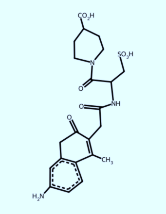 CC1=C(CC(=O)NC(CS(=O)(=O)O)C(=O)N2CCC(C(=O)O)CC2)C(=O)Cc2cc(N)ccc21